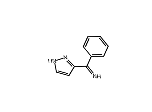 N=C(c1ccccc1)c1cc[nH]n1